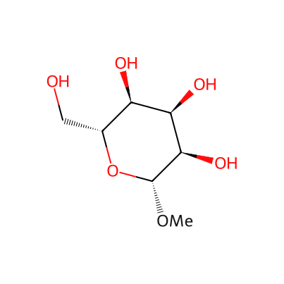 CO[C@@H]1O[C@H](CO)[C@@H](O)[C@@H](O)[C@H]1O